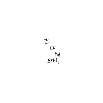 [Cu].[Ni].[SrH2].[Zr]